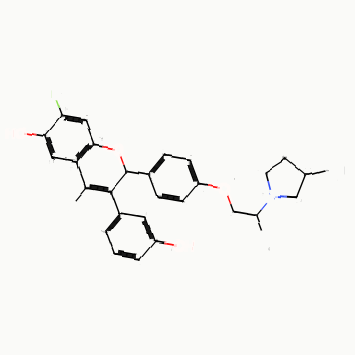 CC1=C(c2cccc(O)c2)C(c2ccc(OCC(C)N3CCC(C)C3)cc2)Oc2cc(F)c(O)cc21